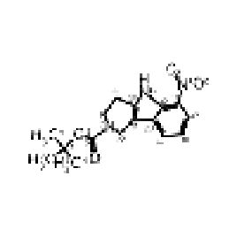 CC(C)(C)OC(=O)N1CCc2[nH]c3c([N+](=O)[O-])cccc3c2C1